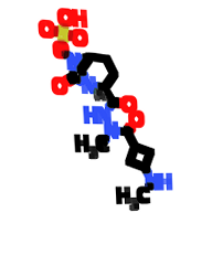 CNC1CC(C(=O)N(C)NC(=O)[C@@H]2CCC3CN2C(=O)N3OS(=O)(=O)O)C1